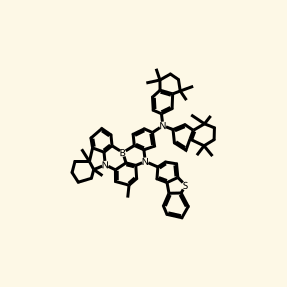 Cc1cc2c3c(c1)N1c4c(cccc4C4(C)CCCCC14C)B3c1ccc(N(c3ccc4c(c3)C(C)(C)CCC4(C)C)c3ccc4c(c3)C(C)(C)CCC4(C)C)cc1N2c1ccc2sc3ccccc3c2c1